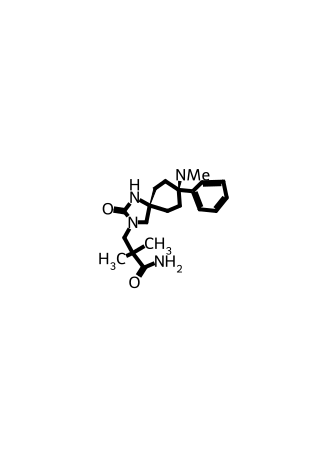 CN[C@]1(c2ccccc2)CC[C@@]2(CC1)CN(CC(C)(C)C(N)=O)C(=O)N2